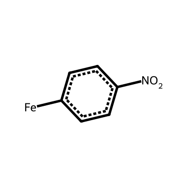 O=[N+]([O-])c1cc[c]([Fe])cc1